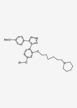 COc1ccc(-c2cnoc2-c2ccc(OC(C)C)cc2OCCCCCCN2CCCCC2)cc1